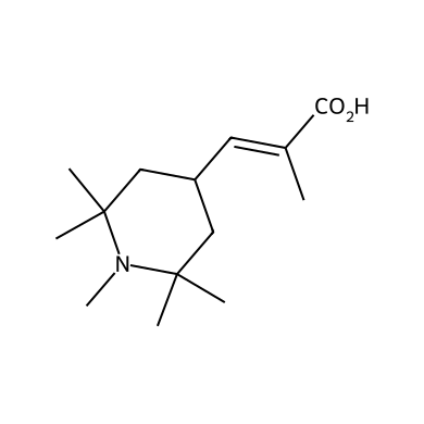 CC(=CC1CC(C)(C)N(C)C(C)(C)C1)C(=O)O